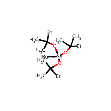 CCC(C)(C)[O][Sn]([O]C(C)(C)CC)([O]C(C)(C)CC)[C](C)(C)C